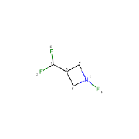 FC(F)C1CN(F)C1